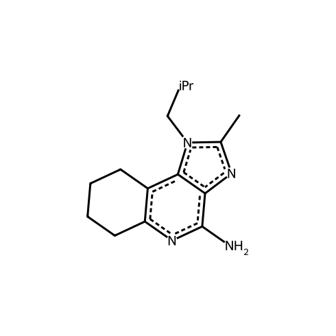 Cc1nc2c(N)nc3c(c2n1CC(C)C)CCCC3